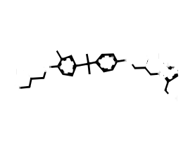 Cc1cc(C(C)(C)c2ccc(OC[C@@H](O)Cn3nncc3CO)cc2)ccc1OC[C@@H](O)CCl